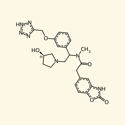 CN(C(=O)Cc1ccc2oc(=O)[nH]c2c1)C(CN1CC[C@@H](O)C1)c1cccc(OCc2nn[nH]n2)c1